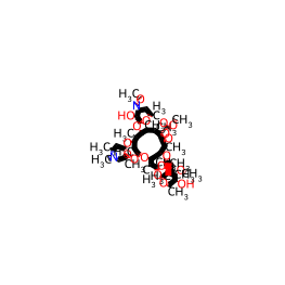 CON=C1C[C@@H](C)O[C@@H](O[C@@H]2[C@@H](C)[C@H](O[C@H]3C[C@H](C)N(C)C[C@H](C)O3)[C@@H](C)C(=O)O[C@H]([C@@H](C)CO[C@@H]3O[C@H](C)[C@@H](O)[C@@H](OC)[C@H]3OC)[C@H](C)[C@@H](OC(=O)CC(C)C)[C@@H](C)C(=O)[C@@](C)(OC(=O)OC)C[C@@H]2C)[C@@H]1O